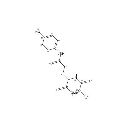 COC(=O)C(CCC(=O)Nc1ccc(O)cc1)NC(=O)OC(C)(C)C